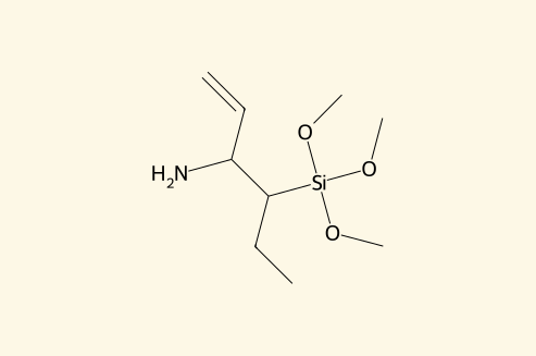 C=CC(N)C(CC)[Si](OC)(OC)OC